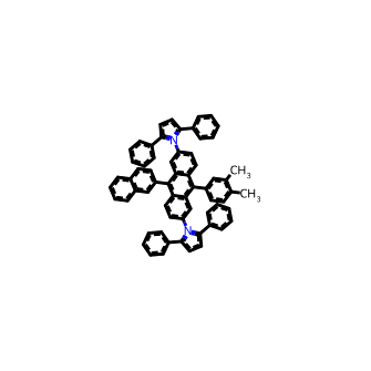 Cc1ccc(-c2c3ccc(-n4c(-c5ccccc5)ccc4-c4ccccc4)cc3c(-c3ccc4ccccc4c3)c3ccc(-n4c(-c5ccccc5)ccc4-c4ccccc4)cc23)cc1C